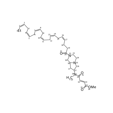 CC/C=C\C/C=C\C/C=C\C/C=C\C/C=C\C/C=C\CCC(=O)N1CCN2CC(N(C)C(=O)/C=C/C(=O)OC)CC2C1